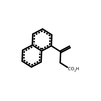 C=C(CC(=O)O)c1cccc2ccccc12